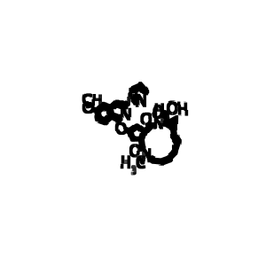 COc1ccc2c(OC3CC4C(=O)NC5(C(=O)O)CC5/C=C/CCCCN(C)C(=O)C4C3)nc(-n3cccn3)cc2c1